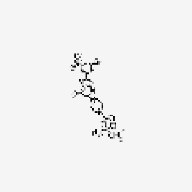 CC(C)(C)OC(=O)N1CCN(c2cc(=O)n3nc(-c4cc(Br)cc([N+](=O)[O-])c4)sc3n2)CC1